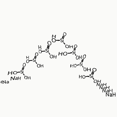 O=[Si](O)O.O=[Si](O)O.O=[Si](O)O.O=[Si](O)O.O=[Si](O)O.O=[Si](O)O.O=[Si](O)O.[NaH].[NaH].[NaH].[NaH].[NaH].[NaH]